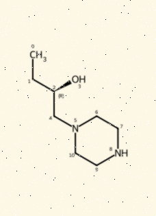 CC[C@@H](O)CN1CCNCC1